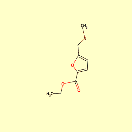 CCOC(=O)c1ccc(CSC)o1